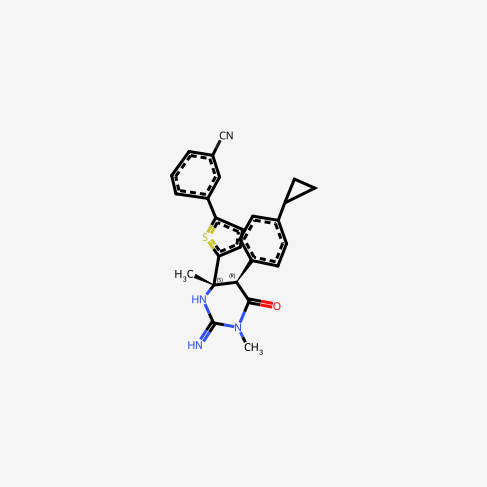 CN1C(=N)N[C@](C)(c2ccc(-c3cccc(C#N)c3)s2)[C@@H](c2ccc(C3CC3)cc2)C1=O